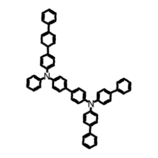 C1=CC(c2ccc(N(c3ccccc3)c3ccc(-c4ccc(N(c5ccc(-c6ccccc6)cc5)c5ccc(-c6ccccc6)cc5)cc4)cc3)cc2)CC=C1c1ccccc1